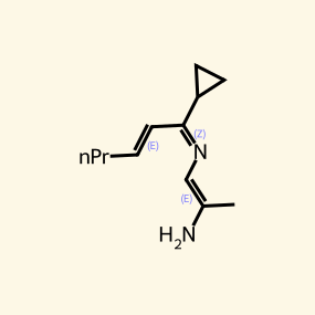 CCC/C=C/C(=N\C=C(/C)N)C1CC1